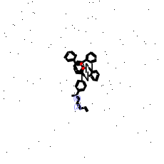 C=C/C=C\C=C(/C)c1ccc(N(c2ccc(-c3ccccc3)cc2)c2ccccc2-n2c3ccccc3c3ccccc32)cc1